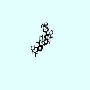 C[C@@H](Nc1ncnc2c1cc(C1CCS(=O)(=O)CC1)c(=O)n2C)c1cccc(C(F)F)c1Cl